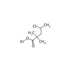 CCOC(=O)C(C)(C)CC(C)Cl